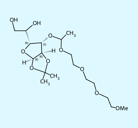 COCCOCCOCCOC(C)O[C@@H]1[C@H]2OC(C)(C)O[C@H]2O[C@@H]1C(O)CO